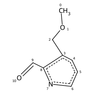 COCc1cccnc1C=O